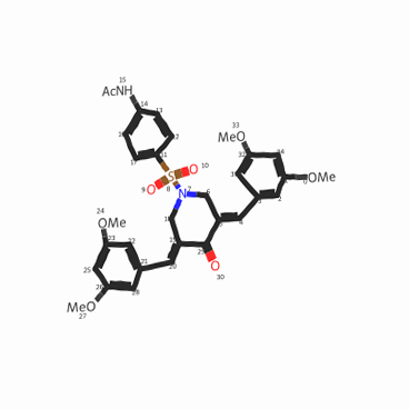 COc1cc(C=C2CN(S(=O)(=O)c3ccc(NC(C)=O)cc3)CC(=Cc3cc(OC)cc(OC)c3)C2=O)cc(OC)c1